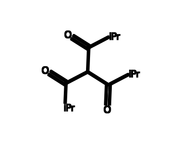 CC(C)C(=O)C(C(=O)C(C)C)C(=O)C(C)C